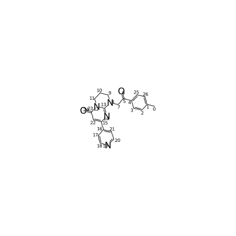 Cc1ccc(C(=O)CN2CCCn3c2nc(-c2ccncc2)cc3=O)cc1